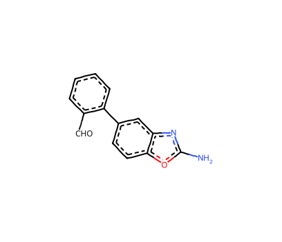 Nc1nc2cc(-c3ccccc3C=O)ccc2o1